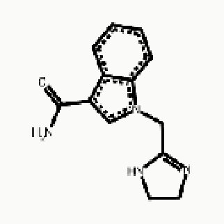 NC(=O)c1cn(CC2=NCCN2)c2ccccc12